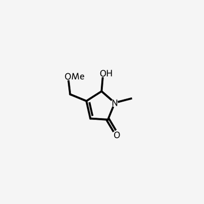 COCC1=CC(=O)N(C)C1O